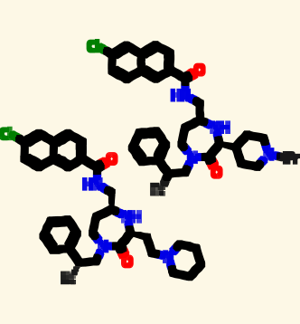 CCC(CN1CCC(CNC(=O)c2ccc3cc(Cl)ccc3c2)N[C@@H](C2CCN(C(C)C)CC2)C1=O)c1ccccc1.CC[C@@H](CN1CC[C@@H](CNC(=O)c2ccc3cc(Cl)ccc3c2)N[C@@H](CCN2CCCCC2)C1=O)c1ccccc1